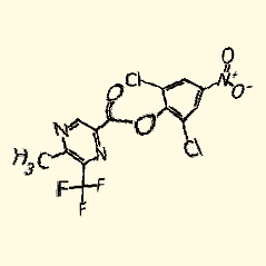 Cc1ncc(C(=O)Oc2c(Cl)cc([N+](=O)[O-])cc2Cl)nc1C(F)(F)F